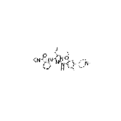 Cc1cc(Nc2ncc(CI)c(Nc3ccccc3C(=O)N3CCC3)n2)c(OC(C)C)cc1C1CCN(C)CC1